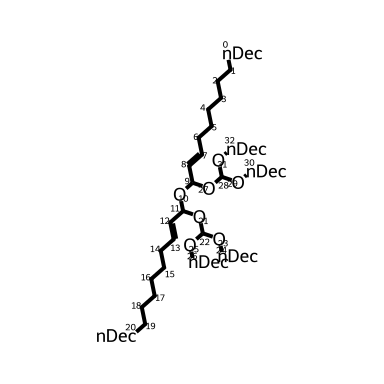 CCCCCCCCCCCCCCCCC=CC(OC(C=CCCCCCCCCCCCCCCCC)OC(OCCCCCCCCCC)OCCCCCCCCCC)OC(OCCCCCCCCCC)OCCCCCCCCCC